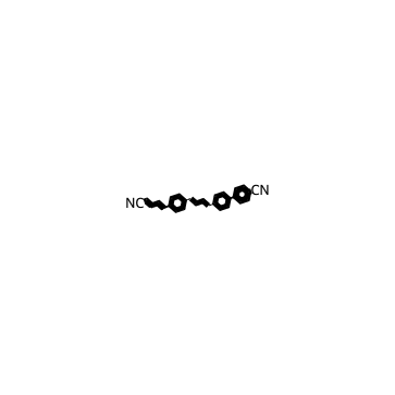 N#CC=CC=C[C@H]1CC[C@H](CCCC[C@H]2CC[C@H](c3ccc(C#N)cc3)CC2)CC1